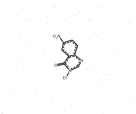 CCn1cnc2ccc([N+](=O)[O-])cc2c1=O